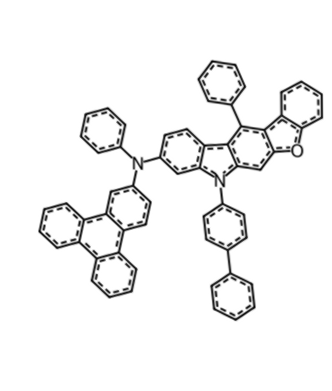 c1ccc(-c2ccc(-n3c4cc(N(c5ccccc5)c5ccc6c7ccccc7c7ccccc7c6c5)ccc4c4c(-c5ccccc5)c5c(cc43)oc3ccccc35)cc2)cc1